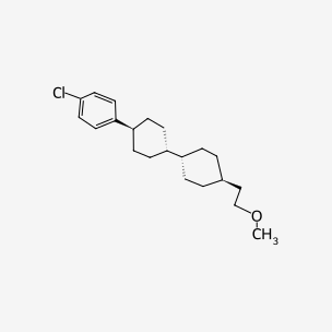 COCC[C@H]1CC[C@H]([C@H]2CC[C@H](c3ccc(Cl)cc3)CC2)CC1